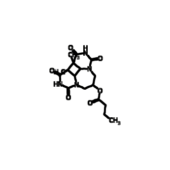 CCCC(=O)OC1CN2C(=O)NC(=O)C3(C)C2C2N(C1)C(=O)NC(=O)C23C